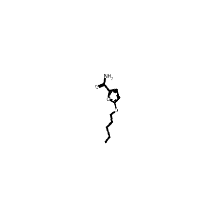 CCCCCOc1ccc(C(N)=O)o1